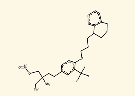 NC(CO)(CCc1ccc(OCCCC2CCCc3ccccc32)c(C(F)(F)F)c1)CO[PH2]=O